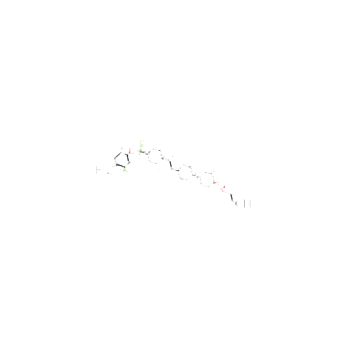 C/C=C/COC1CCC(C2CCC(/C=C/C3CCC(C(F)(F)Oc4ccc(C(F)(F)F)c(F)c4)CC3)CC2)CC1